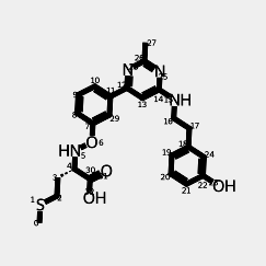 CSCC[C@H](NOc1cccc(-c2cc(NCCc3cccc(O)c3)nc(C)n2)c1)C(=O)O